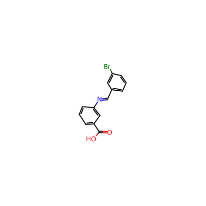 O=C(O)c1cccc(N=Cc2cccc(Br)c2)c1